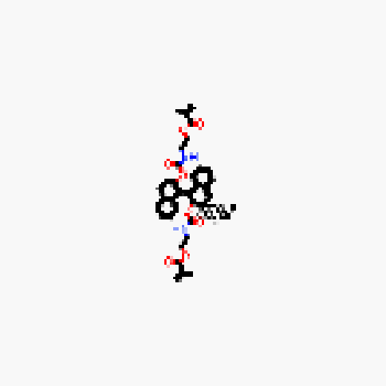 C=C(C)C(=O)OCCNC(=O)Oc1ccc2ccccc2c1C1=c2ccccc2=CC(C(=O)OCC)(C(=O)OCC)C1OC(=O)NCCOC(=O)C(=C)C